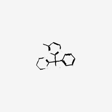 Cc1ccnc(C(O)(C2=NCCCN2)c2ccccc2)n1